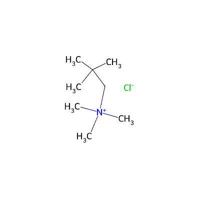 CC(C)(C)C[N+](C)(C)C.[Cl-]